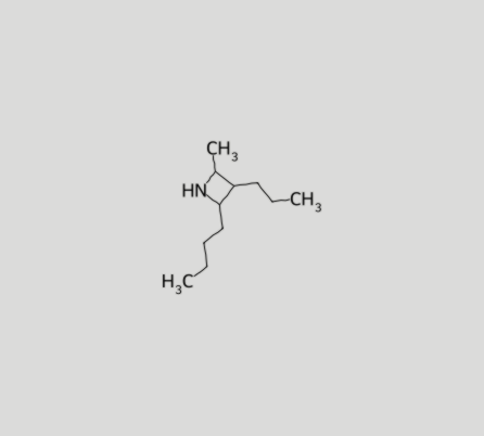 CCCCC1NC(C)C1CCC